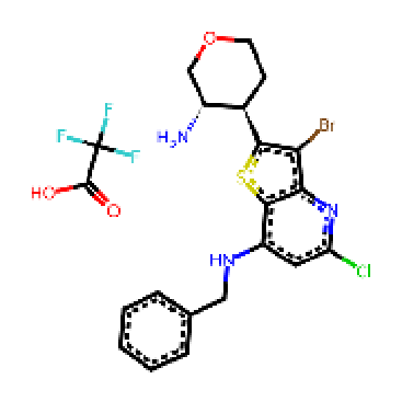 N[C@@H]1COCC[C@H]1c1sc2c(NCc3ccccc3)cc(Cl)nc2c1Br.O=C(O)C(F)(F)F